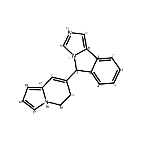 C1=C(C2c3ccccc3-c3cncn32)CCn2cccc21